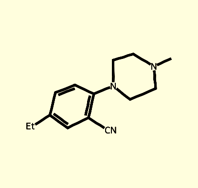 CCc1ccc(N2CCN(C)CC2)c(C#N)c1